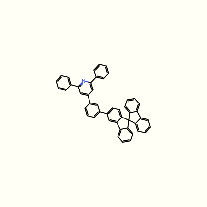 c1ccc(-c2cc(-c3cccc(-c4ccc5c(c4)-c4ccccc4C54c5ccccc5-c5ccccc54)c3)cc(-c3ccccc3)n2)cc1